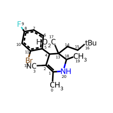 CC1=C(C#N)C(c2ccc(F)cc2Br)C(CCC(C)(C)C)(C(=O)O)C(C)N1